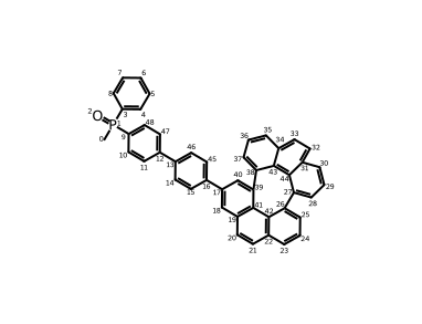 CP(=O)(c1ccccc1)c1ccc(-c2ccc(-c3cc4ccc5cccc6c7cccc8ccc9cccc(c(c3)c4c56)c9c87)cc2)cc1